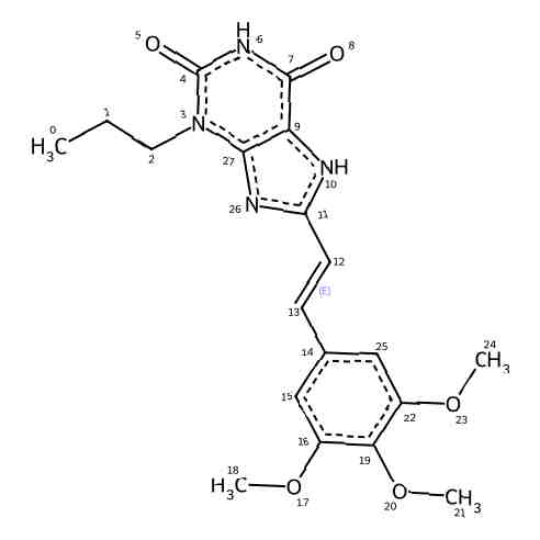 CCCn1c(=O)[nH]c(=O)c2[nH]c(/C=C/c3cc(OC)c(OC)c(OC)c3)nc21